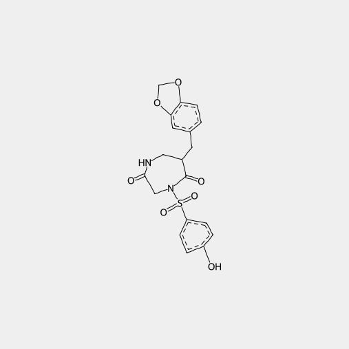 O=C1CN(S(=O)(=O)c2ccc(O)cc2)C(=O)C(Cc2ccc3c(c2)OCO3)CN1